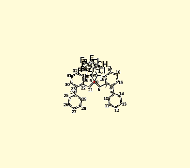 [CH2]=[Zr]([Cl])([Cl])([CH]1C=Cc2c(-c3ccccc3)cccc21)([CH]1C=Cc2c(-c3ccccc3)cccc21)([C](F)(F)F)[C](F)(F)F